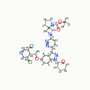 C[C@@H](Oc1ccc2c(c1)c(-c1ccc(N3CC4(CCCN4C(=O)OC(C)(C)C)C3)nn1)nn2C1CCCCO1)c1c(Cl)cncc1Cl